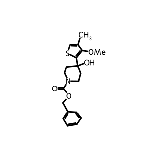 COc1c(C)csc1C1(O)CCN(C(=O)OCc2ccccc2)CC1